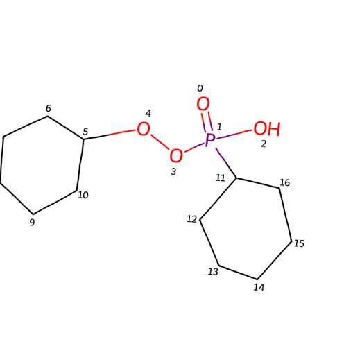 O=P(O)(OOC1CCCCC1)C1CCCCC1